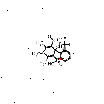 CC1=C([N+](=O)[O-])C(C)(c2ccccc2C(F)(F)F)C(P(=O)(O)O)=C(C)N1C